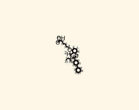 [2H]C(c1ccccc1OCCCCCC(=O)O)N(C(=O)c1ccc(-c2ccccc2)cc1)C(C)CC